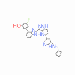 Oc1cc(F)cc(-c2cccc3[nH]c(-c4n[nH]c5ccc(-c6cncc(CNCc7ccccc7)c6)nc45)nc23)c1